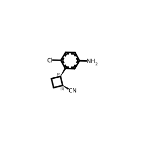 N#C[C@H]1CC[C@H]1c1cc(N)ccc1Cl